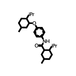 CC1CCC(C(C)C)C(Oc2ccc(NC(=O)C3CC(C)CCC3C(C)C)cc2)C1